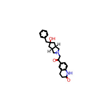 O=C1CCc2cc(C(=O)CN3C[C@@H]4CC(O)(Cc5ccccc5)C[C@@H]4C3)ccc2N1